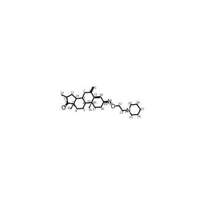 C=C1CC2C(CC[C@]3(C)C(=O)C(C)CC23)[C@@]2(C)CCC(=NOCCN3CCCCC3)C=C12